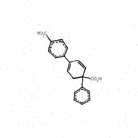 O=C(O)c1ccc(C2=CCC(C(=O)O)(c3ccccc3)C=C2)cc1